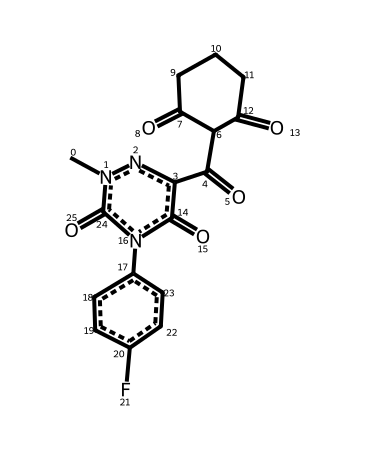 Cn1nc(C(=O)C2C(=O)CCCC2=O)c(=O)n(-c2ccc(F)cc2)c1=O